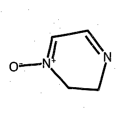 [O-][N+]1=CC=NCC1